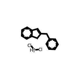 [CH]1C(Cc2ccccc2)=Cc2ccccc21.[Cl][Hf][Cl]